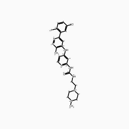 Cc1nnc(-c2cc(Cl)ccc2F)cc1Nc1ccnc(NC(=O)NCCN2CCN(C)CC2)c1